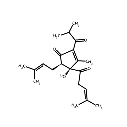 CC(C)=CCC(=O)[C@@]1(O)C(C)=C(C(=O)C(C)C)C(=O)[C@@H]1CC=C(C)C